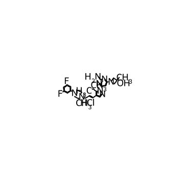 CC(C)c1c(C=CCN2CCN(c3cc(F)cc(F)c3)C[C@H]2C)cnn1-c1cc(N2CC(C)(O)C2)nc(N)n1.Cl